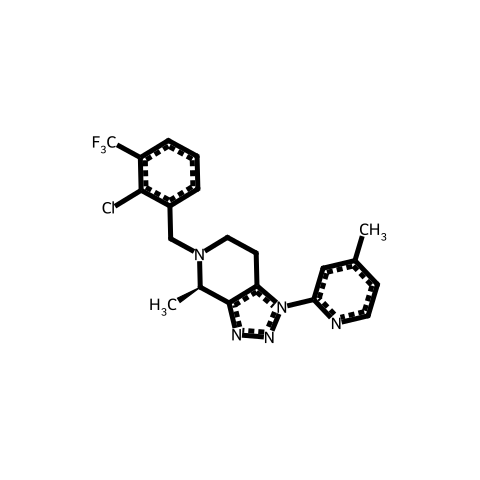 Cc1ccnc(-n2nnc3c2CCN(Cc2cccc(C(F)(F)F)c2Cl)[C@@H]3C)c1